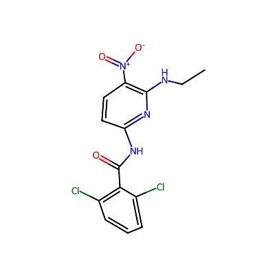 CCNc1nc(NC(=O)c2c(Cl)cccc2Cl)ccc1[N+](=O)[O-]